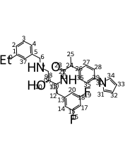 CCc1cccc(CNC[C@H](O)[C@H](Cc2cc(F)cc(F)c2)NC(=O)C(C)c2ccc(-n3cccc3)cc2)c1